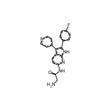 NCC(=O)Nc1ccc2c(-c3ccncc3)c(-c3ccc(F)cc3)[nH]c2n1